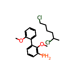 CC(Cl)CCCCCl.COc1ccccc1-c1cccc(P)c1OC